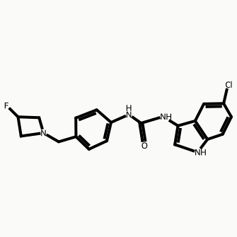 O=C(Nc1ccc(CN2CC(F)C2)cc1)Nc1c[nH]c2ccc(Cl)cc12